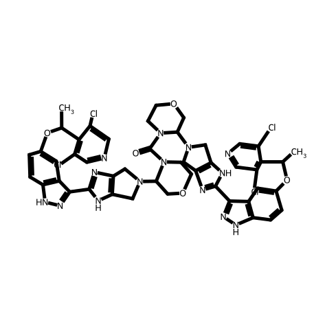 CC(Oc1ccc2[nH]nc(-c3nc4c([nH]3)CN(C3COCCN3C(=O)N3CCOCC3N3Cc5nc(-c6n[nH]c7ccc(OC(C)c8c(Cl)cncc8Cl)cc67)[nH]c5C3)C4)c2c1)c1c(Cl)cncc1Cl